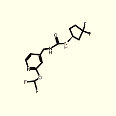 O=C(NCc1ccnc(OC(F)F)c1)N[C@H]1CCC(F)(F)C1